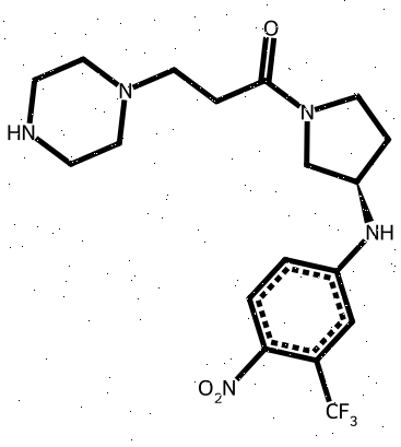 O=C(CCN1CCNCC1)N1CC[C@@H](Nc2ccc([N+](=O)[O-])c(C(F)(F)F)c2)C1